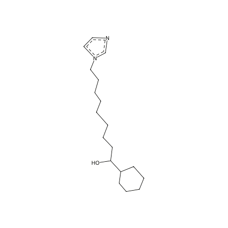 OC(CCCCCCCCn1ccnc1)C1CCCCC1